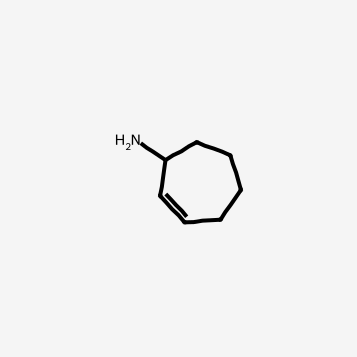 NC1C=CCCCC1